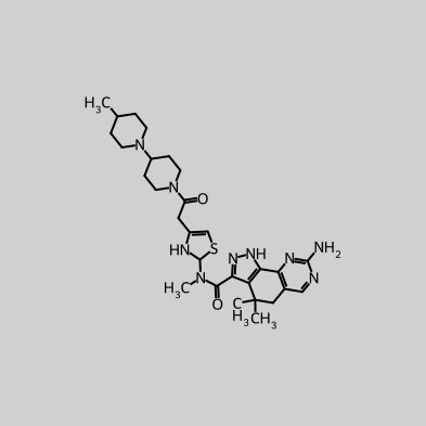 CC1CCN(C2CCN(C(=O)CC3=CSC(N(C)C(=O)c4n[nH]c5c4C(C)(C)Cc4cnc(N)nc4-5)N3)CC2)CC1